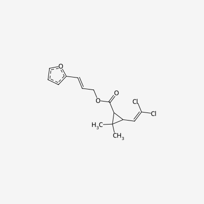 CC1(C)C(C=C(Cl)Cl)C1C(=O)OCC=Cc1ccco1